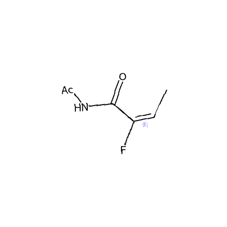 C/C=C(/F)C(=O)NC(C)=O